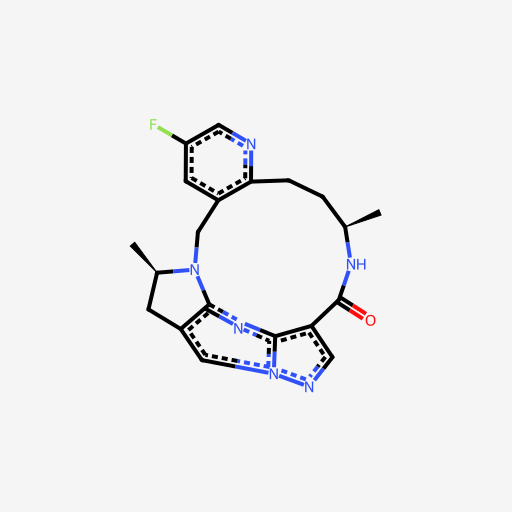 C[C@@H]1CCc2ncc(F)cc2CN2c3nc4c(cnn4cc3C[C@H]2C)C(=O)N1